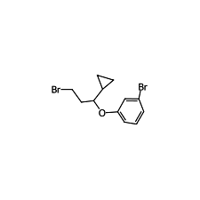 BrCCC(Oc1cccc(Br)c1)C1CC1